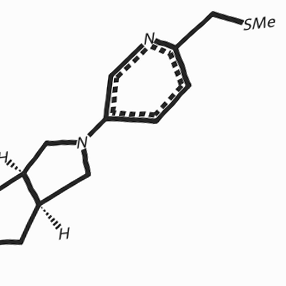 CSCc1ccc(N2C[C@H]3COC[C@H]3C2)cn1